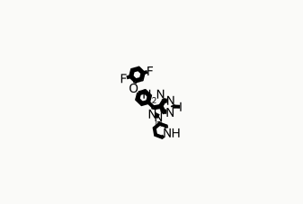 Nc1nc(I)nc2c1c(-c1ccc(Oc3cc(F)ccc3F)cc1)nn2[C@@H]1CCCNC1